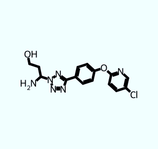 NC(CCO)n1nnc(-c2ccc(Oc3ccc(Cl)cn3)cc2)n1